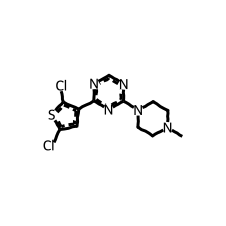 CN1CCN(c2ncnc(-c3cc(Cl)sc3Cl)n2)CC1